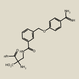 CCCC(=O)C(N)(CNC(=O)c1cccc(COc2ccc(C(=N)N)cc2)c1)C(=O)O